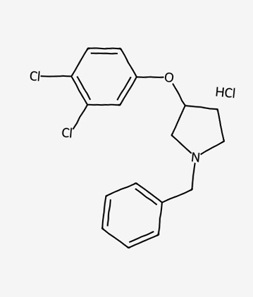 Cl.Clc1ccc(OC2CCN(Cc3ccccc3)C2)cc1Cl